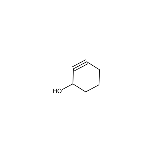 OC1C#CCCC1